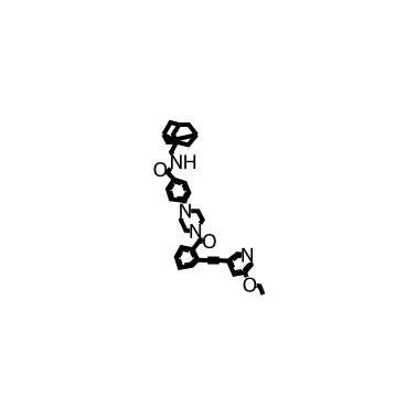 CCOc1cncc(C#Cc2ccccc2C(=O)N2CCN(c3ccc(C(=O)NCC45CC6CC(CC(C6)C4)C5)cc3)CC2)c1